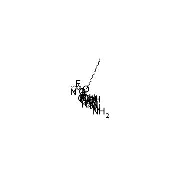 CCCCCCCCCCCCCCCCCCOC[C@H](COP(=O)(O)OC1[C@H]2O[C@@](C#N)(c3ccc4c(N)ncnn34)[C@H](O)[C@@]12O)OCc1cc(F)c(CCC)c(C#N)c1